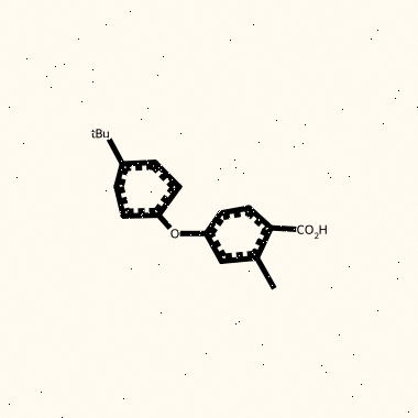 Cc1cc(Oc2ccc(C(C)(C)C)cc2)ccc1C(=O)O